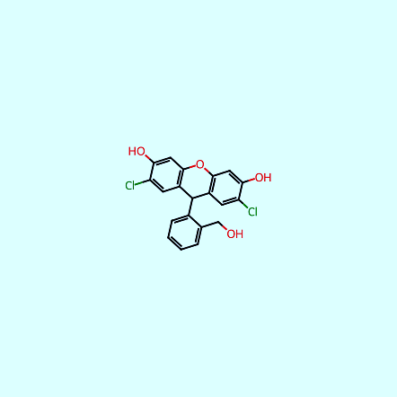 OCc1ccccc1C1c2cc(Cl)c(O)cc2Oc2cc(O)c(Cl)cc21